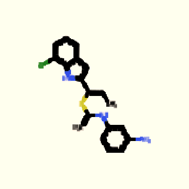 C=C(Nc1cccc(N)c1)S/C(=C\C)c1cc2cccc(Cl)c2[nH]1